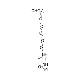 CC(C)C(=O)NCC(F)C(=O)NCCOCCOCCOCCOCCOCCC(C)(C)C=O